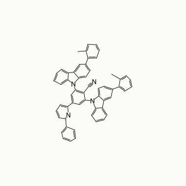 Cc1ccccc1-c1ccc2c(c1)c1ccccc1n2-c1cc(-c2cccc(-c3ccccc3)n2)cc(-n2c3ccccc3c3cc(-c4ccccc4C)ccc32)c1C#N